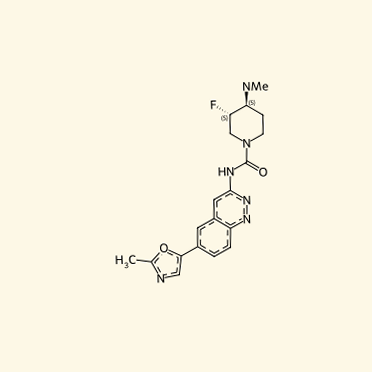 CN[C@H]1CCN(C(=O)Nc2cc3cc(-c4cnc(C)o4)ccc3nn2)C[C@@H]1F